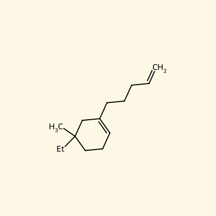 C=CCCCC1=CCCC(C)(CC)C1